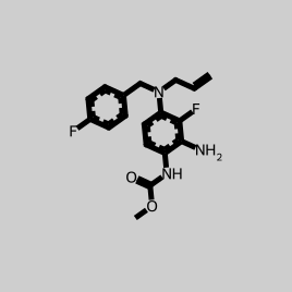 C=CCN(Cc1ccc(F)cc1)c1ccc(NC(=O)OC)c(N)c1F